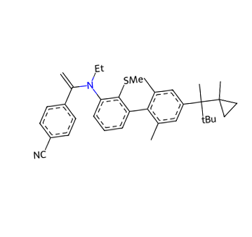 C=C(c1ccc(C#N)cc1)N(CC)c1cccc(-c2c(C)cc(C(C)(C(C)(C)C)C3(C)CC3)cc2C)c1SC